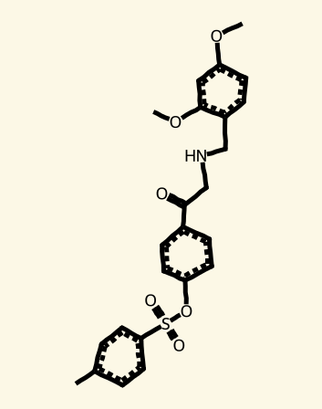 COc1ccc(CNCC(=O)c2ccc(OS(=O)(=O)c3ccc(C)cc3)cc2)c(OC)c1